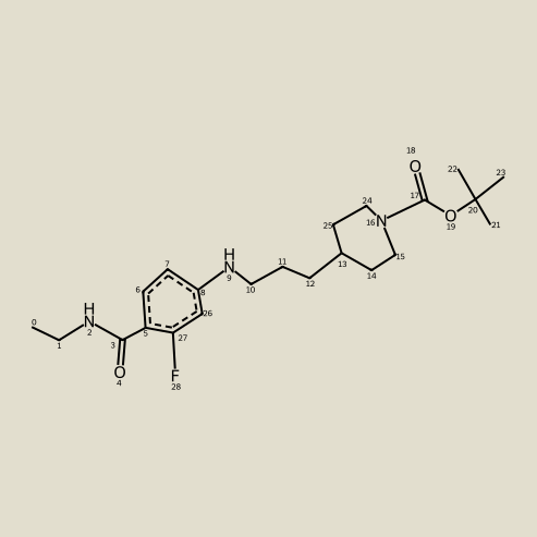 CCNC(=O)c1ccc(NCCCC2CCN(C(=O)OC(C)(C)C)CC2)cc1F